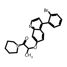 CC(Oc1ccc2c(-c3ccccc3Br)ccnc2c1)C(=O)N1CCCCC1